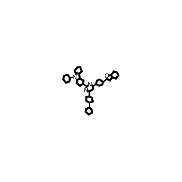 c1ccc(-c2ccc(-c3cc(-c4ccc(-c5cc6ccccc6o5)cc4)nc(-c4ccc5c(c4)c4ccccc4n5-c4ccccc4)n3)cc2)cc1